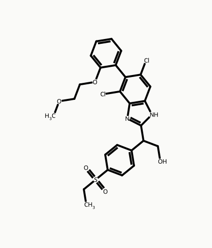 CCS(=O)(=O)c1ccc(C(CO)c2nc3c(Cl)c(-c4ccccc4OCCOC)c(Cl)cc3[nH]2)cc1